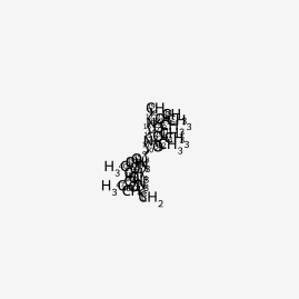 C=CCN(CCCN(C/C=C/CN(CCCN(CC=C)C(=O)OC(C)(C)C)C(=O)OC(C)(C)C)C(=O)OC(C)(C)C)C(=O)OC(C)(C)C